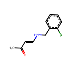 CC(=O)/C=C/NCc1ccccc1F